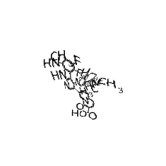 CNc1cc(F)c(F)c2c1[nH]c1ncc(-c3ccc4ccc(C(=O)O)c(=O)n4c3)c(N3C[C@H]4CC[C@@H](N(C)C)[C@H]4C3)c12